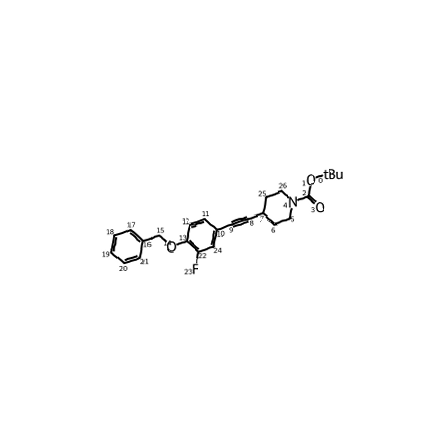 CC(C)(C)OC(=O)N1CCC(C#Cc2ccc(OCc3ccccc3)c(F)c2)CC1